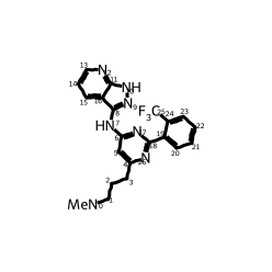 CNCCCc1cc(Nc2n[nH]c3ncccc23)nc(-c2ccccc2C(F)(F)F)n1